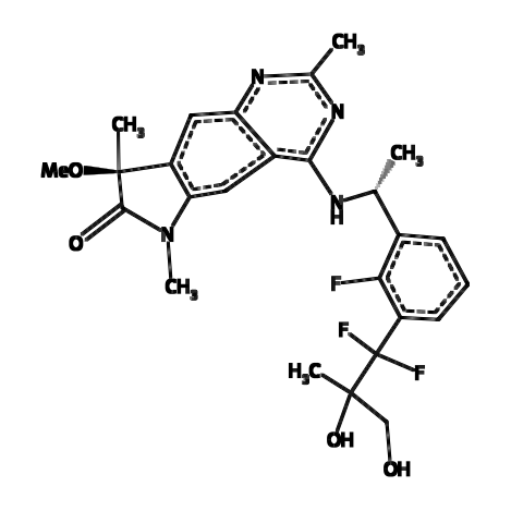 CO[C@]1(C)C(=O)N(C)c2cc3c(N[C@H](C)c4cccc(C(F)(F)C(C)(O)CO)c4F)nc(C)nc3cc21